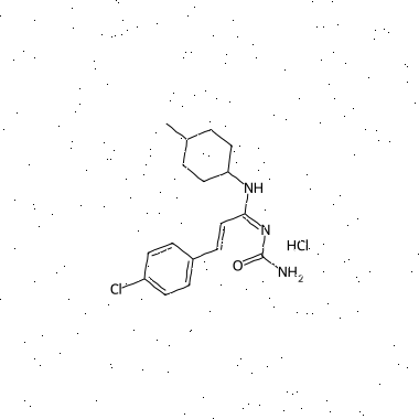 CC1CCC(NC(/C=C/c2ccc(Cl)cc2)=N/C(N)=O)CC1.Cl